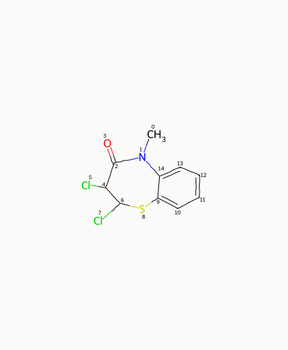 CN1C(=O)C(Cl)C(Cl)Sc2ccccc21